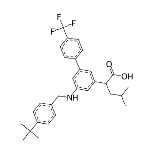 CC(C)CC(C(=O)O)c1cc(NCc2ccc(C(C)(C)C)cc2)cc(-c2ccc(C(F)(F)F)cc2)c1